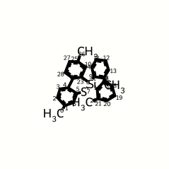 Cc1ccc2c(c1)S[Si](c1ccccc1C)(c1ccccc1C)c1cc(C)ccc1-2